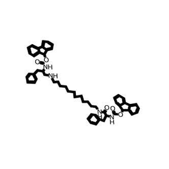 O=C(NC(CNCCCCCCCCCCCCNC(=O)C(Cc1ccccc1)NC(=O)OC1c2ccccc2-c2ccccc21)Cc1ccccc1)OC1c2ccccc2-c2ccccc21